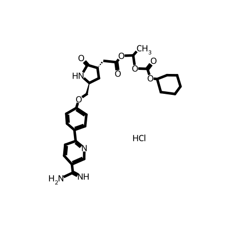 CC(OC(=O)C[C@@H]1C[C@@H](COc2ccc(-c3ccc(C(=N)N)cn3)cc2)NC1=O)OC(=O)OC1CCCCC1.Cl